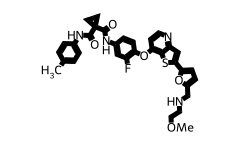 COCCNCc1ccc(-c2cc3nccc(Oc4ccc(NC(=O)C5(C(=O)Nc6ccc(C)cc6)CC5)cc4F)c3s2)o1